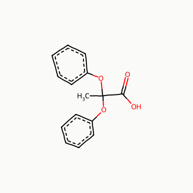 CC(Oc1ccccc1)(Oc1ccccc1)C(=O)O